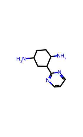 NC1CCC(N)C(c2ncccn2)C1